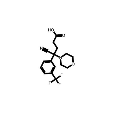 N#CC(CCC(=O)O)(c1cccc(C(F)(F)F)c1)N1CCOCC1